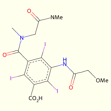 CNC(=O)CN(C)C(=O)c1c(I)c(NC(=O)COC)c(I)c(C(=O)O)c1I